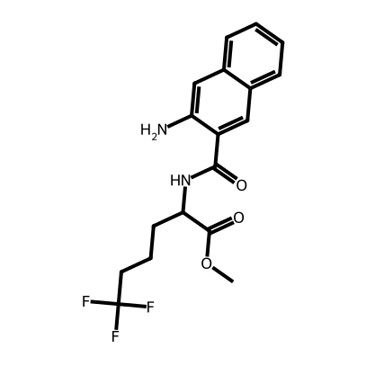 COC(=O)C(CCCC(F)(F)F)NC(=O)c1cc2ccccc2cc1N